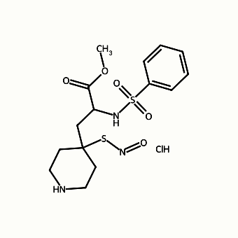 COC(=O)C(CC1(SN=O)CCNCC1)NS(=O)(=O)c1ccccc1.Cl